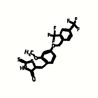 COc1cc(OCc2ccc(C(F)(F)F)cc2C(F)(F)F)ccc1C=C1SC(=S)NC1=O